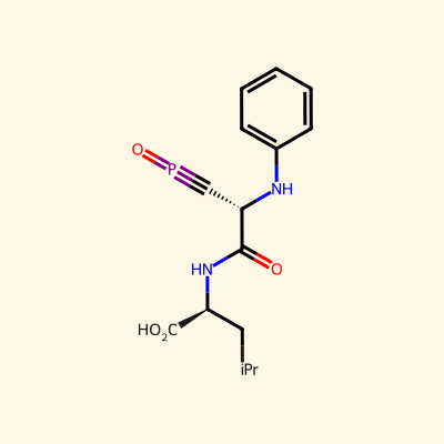 CC(C)C[C@H](NC(=O)[C@H](C#P=O)Nc1ccccc1)C(=O)O